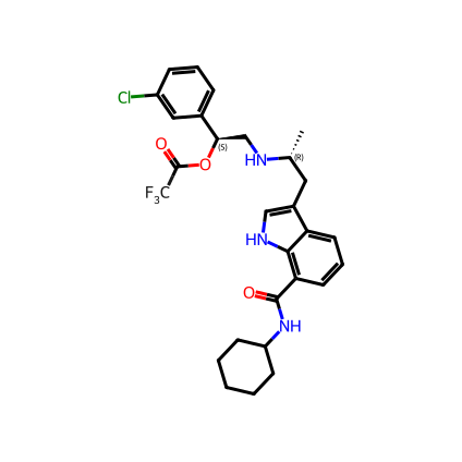 C[C@H](Cc1c[nH]c2c(C(=O)NC3CCCCC3)cccc12)NC[C@@H](OC(=O)C(F)(F)F)c1cccc(Cl)c1